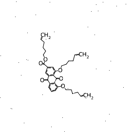 C=CCCCCOC(=O)c1cc(OCCCCC=C)c2c(c1)C(=O)c1cccc(OCCCCC=C)c1C2=O